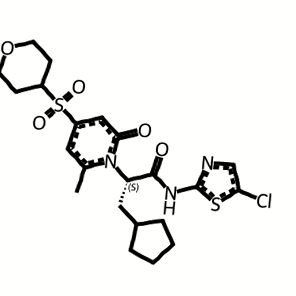 Cc1cc(S(=O)(=O)C2CCOCC2)cc(=O)n1[C@@H](CC1CCCC1)C(=O)Nc1ncc(Cl)s1